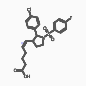 O=C(O)CCC/C=C\C1CCN(S(=O)(=O)c2ccc(F)cc2)C1c1ccc(Cl)cc1